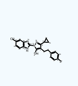 Oc1c(CCc2ccc(F)cc2)c(C2CC2)nn1-c1nc2cc(Cl)ccc2[nH]1